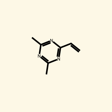 C=Cc1nc(C)nc(C)n1